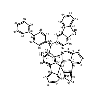 CCc1ccc2cccc3c2c1C1(c2ccccc2-c2ccc(N(c4ccc(-c5ccccc5)cc4)c4ccc5oc6ccccc6c5c4)cc21)c1ccccc1-3